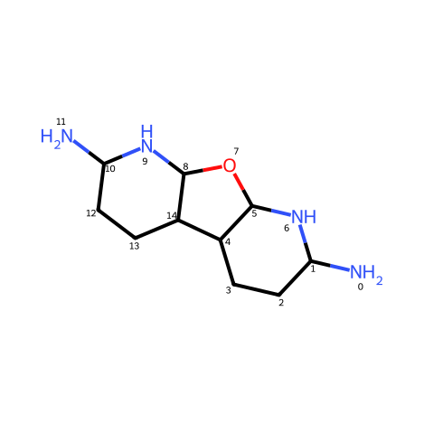 NC1CCC2C(N1)OC1NC(N)CCC12